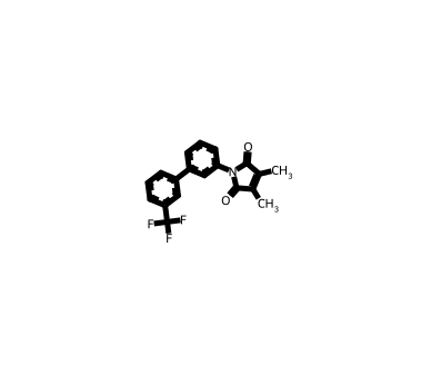 CC1=C(C)C(=O)N(c2cccc(-c3cccc(C(F)(F)F)c3)c2)C1=O